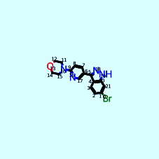 Brc1ccc2c(-c3ccc(N4CCOCC4)nc3)n[nH]c2c1